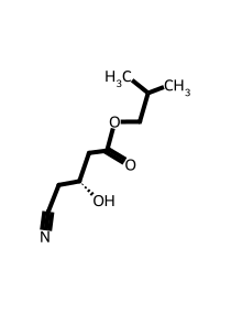 CC(C)COC(=O)C[C@H](O)CC#N